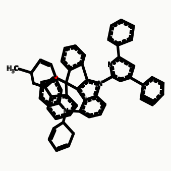 CC1C=CC2=C(C1)c1ccccc1C21c2ccccc2-c2c1c1c(N(c3ccccc3)C3C=CC=CC3)cccc1n2-c1cc(-c2c#cccc2)cc(-c2ccccc2)n1